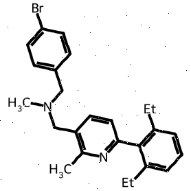 CCc1cccc(CC)c1-c1ccc(CN(C)Cc2ccc(Br)cc2)c(C)n1